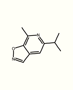 Cc1nc(C(C)C)cc2cnoc12